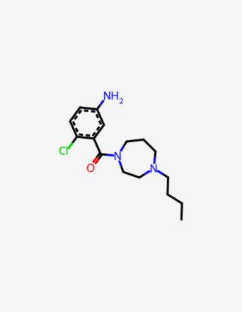 CCCCN1CCCN(C(=O)c2cc(N)ccc2Cl)CC1